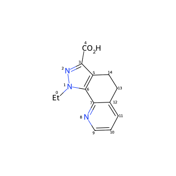 CCn1nc(C(=O)O)c2c1-c1ncccc1CC2